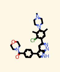 Cc1cc(-c2cc3c(-c4ccc(C(=O)N5CCOCC5)cc4)c[nH]c3nn2)c(Cl)c(C)c1N1CCN(C)CC1